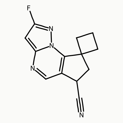 N#CC1CC2(CCC2)c2c1cnc1cc(F)nn21